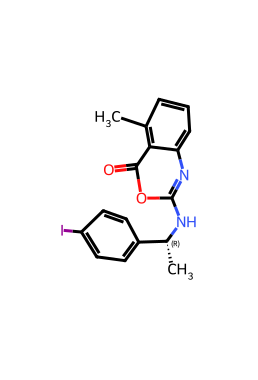 Cc1cccc2nc(N[C@H](C)c3ccc(I)cc3)oc(=O)c12